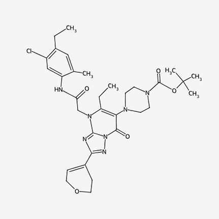 CCc1cc(C)c(NC(=O)Cn2c(CC)c(N3CCN(C(=O)OC(C)(C)C)CC3)c(=O)n3nc(C4=CCOCC4)nc23)cc1Cl